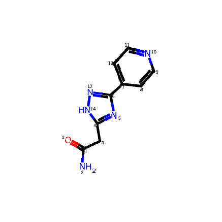 NC(=O)Cc1nc(-c2ccncc2)n[nH]1